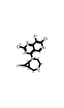 Fc1c(Cl)ncc2c(N3CCOCC4C(F)C43)nc(Cl)nc12